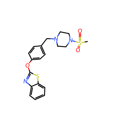 CS(=O)(=O)N1CCN(Cc2ccc(Oc3nc4ccccc4s3)cc2)CC1